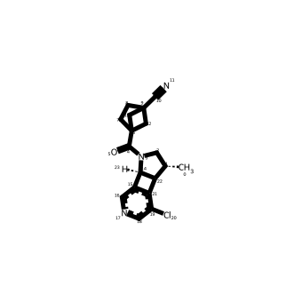 C[C@H]1CN(C(=O)C23CCC(C#N)(C2)C3)[C@@H]2c3cncc(Cl)c3C21